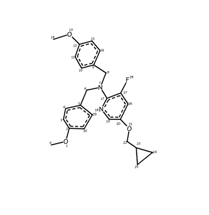 COc1ccc(CN(Cc2ccc(OC)cc2)c2ncc(OCC3CC3)cc2F)cc1